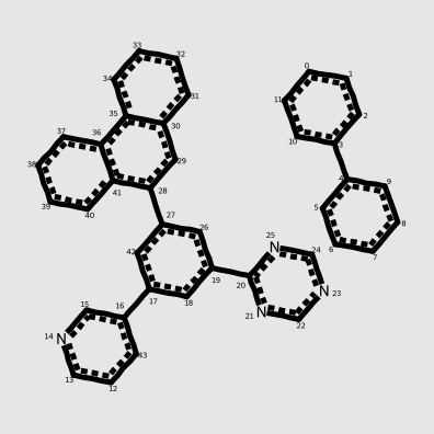 c1ccc(-c2ccccc2)cc1.c1cncc(-c2cc(-c3ncncn3)cc(-c3cc4ccccc4c4ccccc34)c2)c1